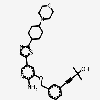 CC(C)(O)C#Cc1cccc(COc2cc(-c3cnc(C4CCC(N5CCOCC5)CC4)s3)cnc2N)c1